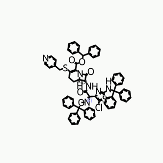 O=C(OC(c1ccccc1)c1ccccc1)C1=C(SCc2ccncc2)CC[C@@H]2[C@H](NC(=O)/C(=N\OC(c3ccccc3)(c3ccccc3)c3ccccc3)c3nc(NC(c4ccccc4)(c4ccccc4)c4ccccc4)sc3Cl)C(=O)N12